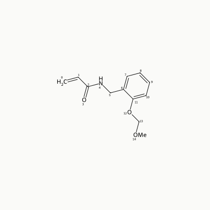 C=CC(=O)NCc1ccccc1OCOC